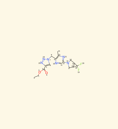 CCOC(=O)c1cn(Cc2ncc(N3CC4C(C3)C4(F)F)nc2C)nn1